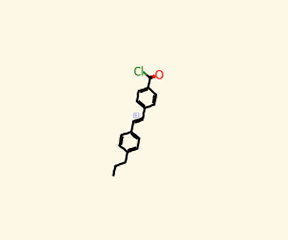 CCCc1ccc(/C=C/c2ccc(C(=O)Cl)cc2)cc1